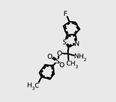 Cc1ccc(S(=O)(=O)OC(C)(N)c2nc3ccc(F)cc3s2)cc1